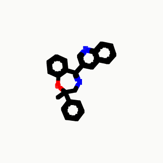 CC1(c2ccccc2)CN=C(c2cnc3ccccc3c2)c2ccccc2O1